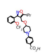 CC(C)c1onc(-c2ccccc2OC(F)(F)F)c1COC1CCN(c2ccc(C(=O)O)cc2)CC1